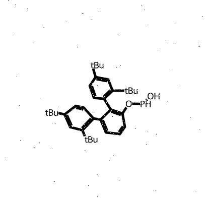 CC(C)(C)c1ccc(-c2cccc(OPO)c2-c2ccc(C(C)(C)C)cc2C(C)(C)C)c(C(C)(C)C)c1